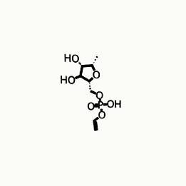 C=COP(=O)(O)OC[C@H]1O[C@@H](C)[C@@H](O)C1O